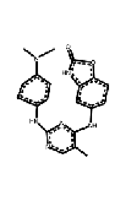 Cc1cnc(Nc2ccc(N(C)C)cc2)nc1Nc1ccc2oc(=O)[nH]c2c1